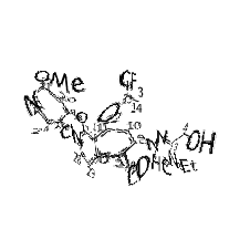 CCN(C=O)/C(CO)=N\N(C)c1cc(OC(C)C(F)(F)F)c2c(Oc3cc(OC)ncc3Cl)nccc2c1Cl